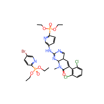 CCOP(=O)(OCC)c1ccc(Br)cn1.CCOP(=O)(OCC)c1ccc(NC2=NC3C(C=N2)C=C(c2c(Cl)cccc2Cl)C(=O)N3C)cn1